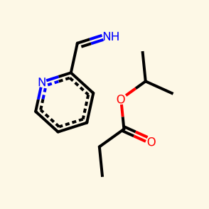 CCC(=O)OC(C)C.N=Cc1ccccn1